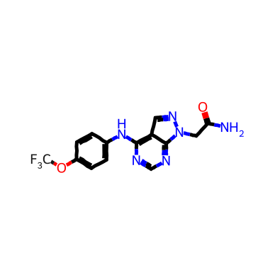 NC(=O)Cn1ncc2c(Nc3ccc(OC(F)(F)F)cc3)ncnc21